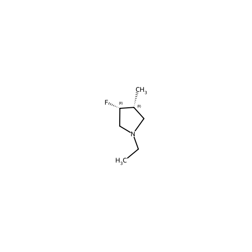 CCN1C[C@@H](C)[C@@H](F)C1